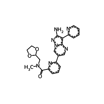 CN(CC1OCCO1)C(=O)c1cccc(-c2cnc3c(-c4ccccn4)c(N)nn3c2)n1